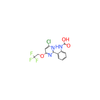 O=C(O)Nc1ccccc1-c1nc(Cl)cc(OCC(F)(F)F)n1